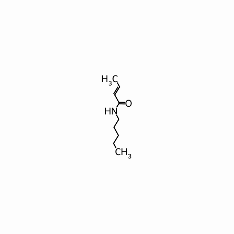 CC=CC(=O)NCCCCC